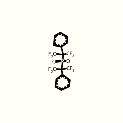 O=S(=O)(C(c1ccccc1)(C(F)(F)F)C(F)(F)F)C(c1ccccc1)(C(F)(F)F)C(F)(F)F